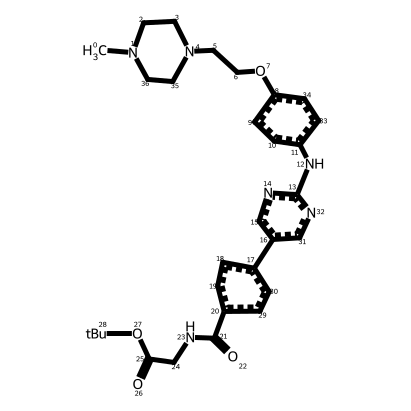 CN1CCN(CCOc2ccc(Nc3ncc(-c4ccc(C(=O)NCC(=O)OC(C)(C)C)cc4)cn3)cc2)CC1